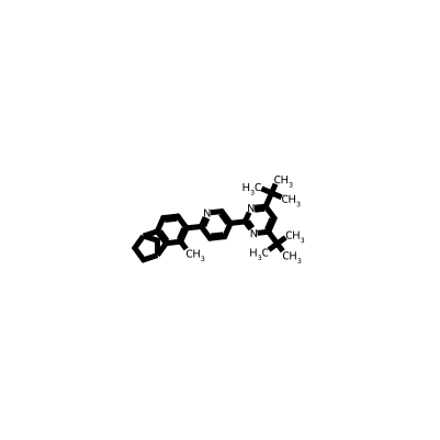 Cc1c(-c2ccc(-c3nc(C(C)(C)C)cc(C(C)(C)C)n3)cn2)ccc2c1C1CCC2C1